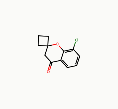 O=C1CC2(CCC2)Oc2c(Cl)cccc21